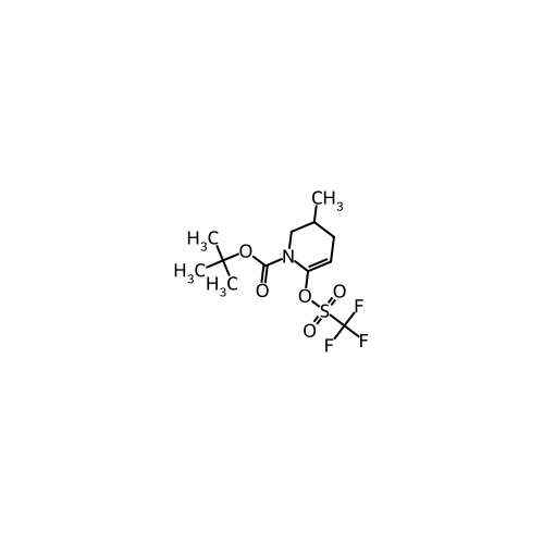 CC1CC=C(OS(=O)(=O)C(F)(F)F)N(C(=O)OC(C)(C)C)C1